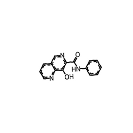 O=C(Nc1ccccc1)c1ncc2cccnc2c1O